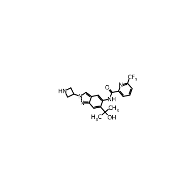 CC(C)(O)c1cc2nn(C3CNC3)cc2cc1NC(=O)c1cccc(C(F)(F)F)n1